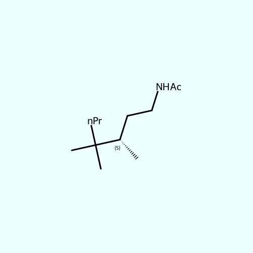 CCCC(C)(C)[C@@H](C)CCNC(C)=O